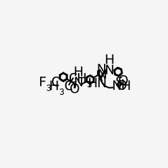 CC(C)(C(=O)NCc1ccc(-c2cnc3nc2NCCCNS(=O)(=O)c2cccc(c2)N3)cc1)c1cccc(C(F)(F)F)c1